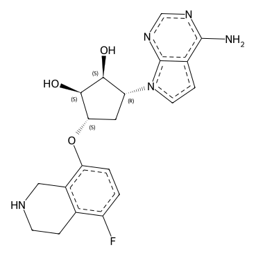 Nc1ncnc2c1ccn2[C@@H]1C[C@H](Oc2ccc(F)c3c2CNCC3)[C@@H](O)[C@H]1O